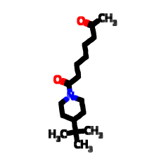 CC(=O)CCCCCC(=O)N1CCC(C(C)(C)C)CC1